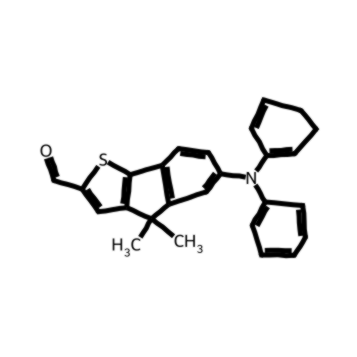 CC1(C)c2cc(N(C3=CCCC=C3)c3ccccc3)ccc2-c2sc(C=O)cc21